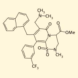 COC(=O)C1CN(C)S(=O)(=O)c2c(-c3cccc(C(F)(F)F)c3)c(Cc3cccc4ccccc34)c(CN(C)C)c(=O)n21